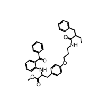 CCC(Cc1ccccc1)C(=O)NCCCOc1ccc(CC(Nc2ccccc2C(=O)c2ccccc2)C(=O)OC)cc1